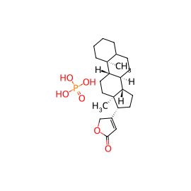 C[C@]12CC[C@H]3[C@@H](CCC4CCCC[C@@]43C)[C@@H]1CC[C@@H]2C1=CC(=O)OC1.O=P(O)(O)O